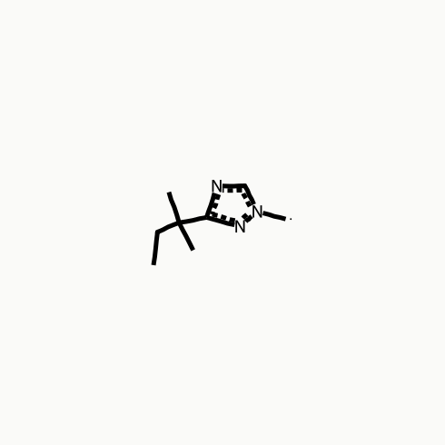 [CH2]n1cnc(C(C)(C)CC)n1